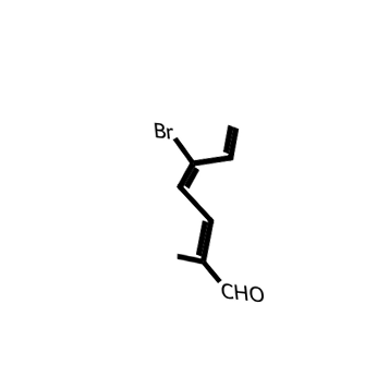 C=C/C(Br)=C\C=C(/C)C=O